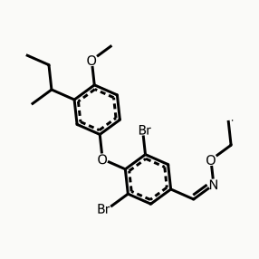 [CH2]CO/N=C\c1cc(Br)c(Oc2ccc(OC)c(C(C)CC)c2)c(Br)c1